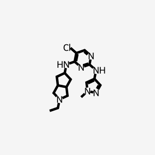 CCN1CC2CC(Nc3nc(Nc4cnn(C)c4)ncc3Cl)CC2C1